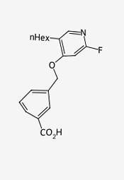 [CH2]CCCCCc1cnc(F)cc1OCc1cccc(C(=O)O)c1